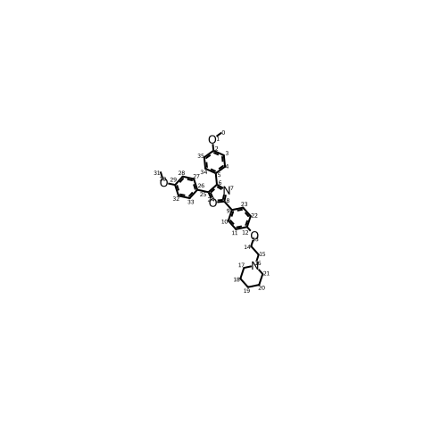 COc1ccc(-c2nc(-c3ccc(OCCN4CCCCC4)cc3)oc2-c2ccc(OC)cc2)cc1